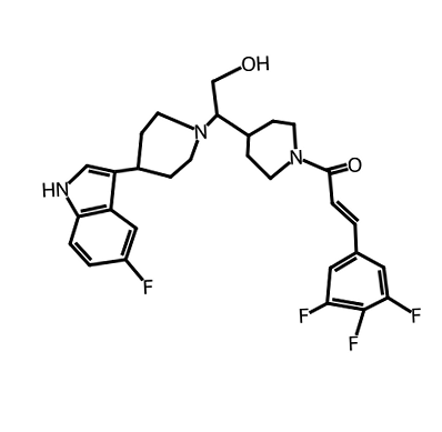 O=C(C=Cc1cc(F)c(F)c(F)c1)N1CCC(C(CO)N2CCC(c3c[nH]c4ccc(F)cc34)CC2)CC1